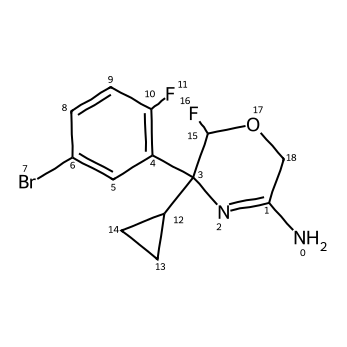 NC1=NC(c2cc(Br)ccc2F)(C2CC2)C(F)OC1